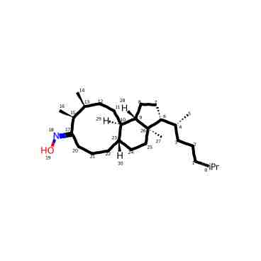 CC(C)CCC[C@@H](C)[C@H]1CC[C@H]2[C@@H]3CC[C@H](C)[C@H](C)/C(=N/O)CCC[C@H]3CC[C@]12C